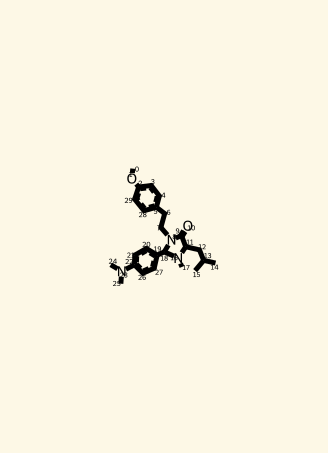 COc1ccc(CCN2C(=O)C(CC(C)C)N(C)C2c2ccc(N(C)C)cc2)cc1